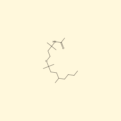 CCCCC(C)CCC(C)(C)OCCC(C)(C)NC(C)=O